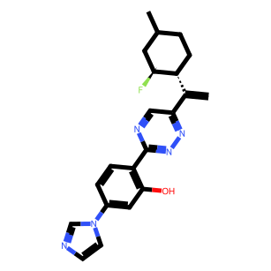 C=C(c1cnc(-c2ccc(-n3ccnc3)cc2O)nn1)[C@H]1CCC(C)C[C@@H]1F